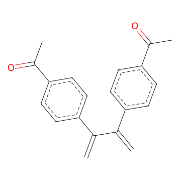 C=C(C(=C)c1ccc(C(C)=O)cc1)c1ccc(C(C)=O)cc1